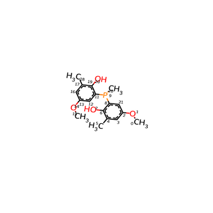 COc1cc(C)c(O)c(P(C)c2cc(OC)cc(C)c2O)c1